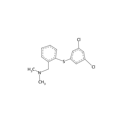 CN(C)Cc1ccccc1Sc1cc(Cl)cc(Cl)c1